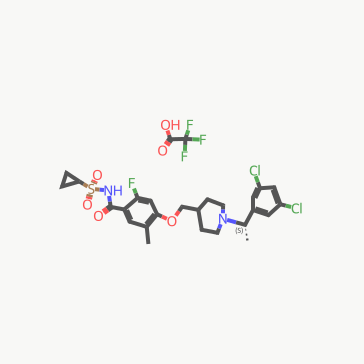 Cc1cc(C(=O)NS(=O)(=O)C2CC2)c(F)cc1OCC1CCN([C@@H](C)c2cc(Cl)cc(Cl)c2)CC1.O=C(O)C(F)(F)F